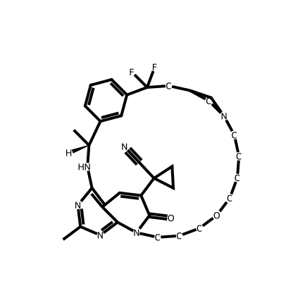 Cc1nc2c3cc(C4(C#N)CC4)c(=O)n(c3n1)CCCOCCCCN1CC(C1)CC(F)(F)c1cccc(c1)[C@@H](C)N2